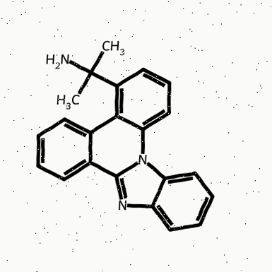 CC(C)(N)c1cccc2c1c1ccccc1c1nc3ccccc3n21